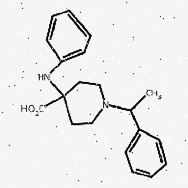 CC(c1ccccc1)N1CCC(Nc2ccccc2)(C(=O)O)CC1